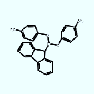 FC(F)(F)c1ccc([O][Zr]([O]c2ccc(C(F)(F)F)cc2)[CH]2c3ccccc3-c3ccccc32)cc1